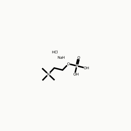 C[N+](C)(C)CCOP(=O)(O)O.Cl.[NaH]